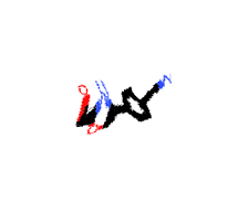 N#Cc1ccc(C2=COC(C=O)N2)cc1